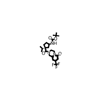 CC(C)[C@]1(C(=O)N2CCn3c(cc(C(F)(F)F)cc3=O)C2)CC[C@@H](NC(=O)OC(C)(C)C)C1